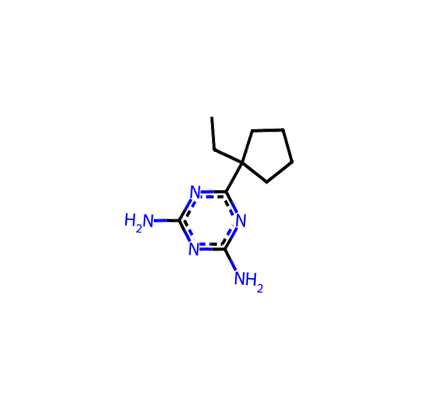 CCC1(c2nc(N)nc(N)n2)CCCC1